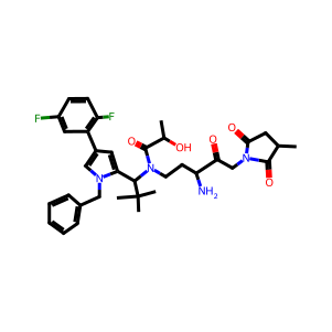 CC(O)C(=O)N(CCC(N)C(=O)CN1C(=O)CC(C)C1=O)C(c1cc(-c2cc(F)ccc2F)cn1Cc1ccccc1)C(C)(C)C